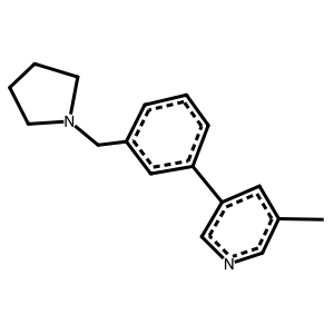 Cc1cncc(-c2cccc(CN3CCCC3)c2)c1